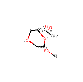 C1COCCO1.CC(=O)O.CCO.O